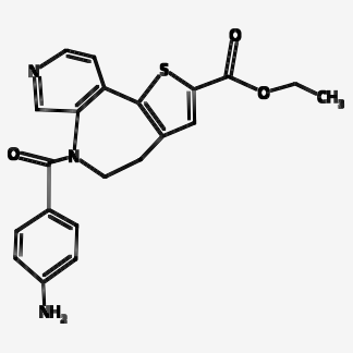 CCOC(=O)c1cc2c(s1)-c1ccncc1N(C(=O)c1ccc(N)cc1)CC2